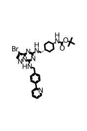 CC(C)(C)OC(=O)N[C@H]1CC[C@H](CNc2nc(NCc3ccc(-c4ccccn4)cc3)n3ncc(Br)c3n2)CC1